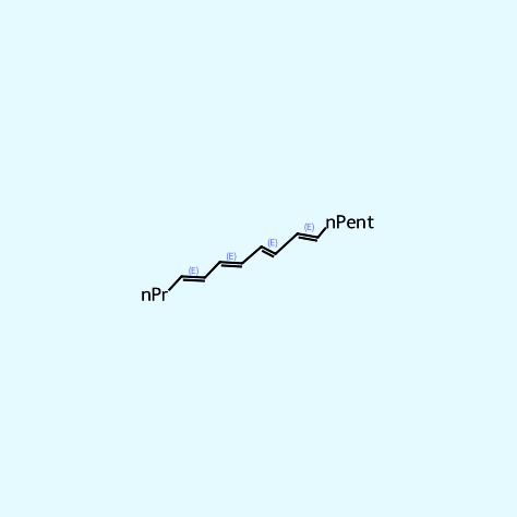 [CH2]CC/C=C/C=C/C=C/C=C/CCCCC